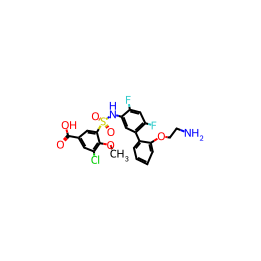 COc1c(Cl)cc(C(=O)O)cc1S(=O)(=O)Nc1cc(-c2ccccc2OCCN)c(F)cc1F